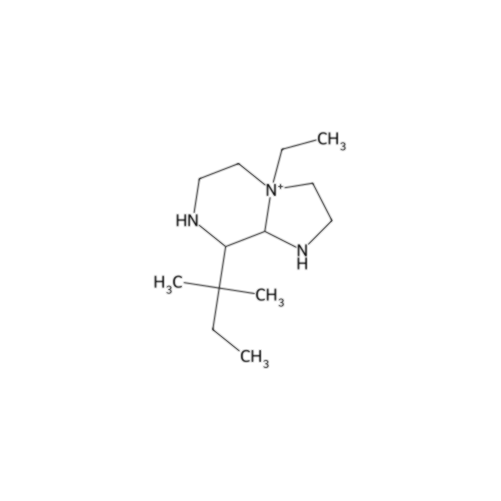 CCC(C)(C)C1NCC[N+]2(CC)CCNC12